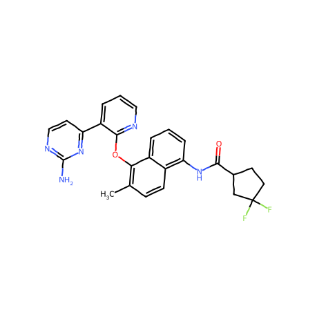 Cc1ccc2c(NC(=O)C3CCC(F)(F)C3)cccc2c1Oc1ncccc1-c1ccnc(N)n1